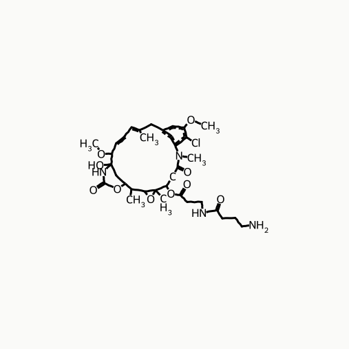 COc1cc2cc(c1Cl)N(C)C(=O)CC(OC(=O)CCNC(=O)CCCN)C1(C)OC1C(C)C1CC(O)(NC(=O)O1)C(OC)/C=C/C=C(\C)C2